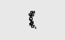 O=C1C(O)CCN1C1CCN(c2cnc(C(F)(F)F)cn2)CC1